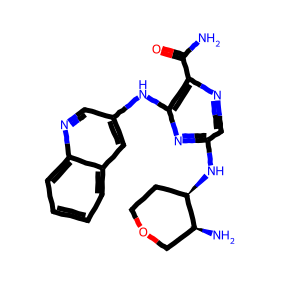 NC(=O)c1ncc(N[C@@H]2CCOC[C@@H]2N)nc1Nc1cnc2ccccc2c1